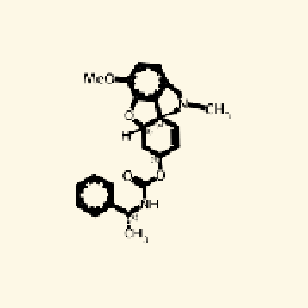 COc1ccc2c3c1O[C@H]1C[C@H](OC(=O)N[C@H](C)c4ccccc4)C=C[C@@]31CN(C)C2